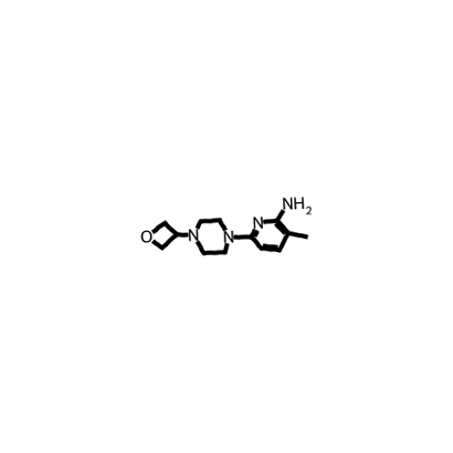 Cc1ccc(N2CCN(C3COC3)CC2)nc1N